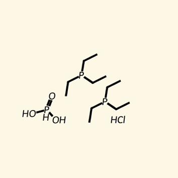 CCP(CC)CC.CCP(CC)CC.Cl.O=[PH](O)O